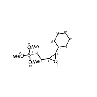 CO[Si](CCC1OC1C1CCCCC1)(OC)OC